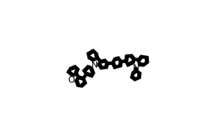 c1ccc(-n2c3ccccc3c3ccc(-c4ccc(-c5ccc6c(c5)c5ccccc5n6-c5ccc(-c6cccc7oc8ccccc8c67)cc5)cc4)cc32)cc1